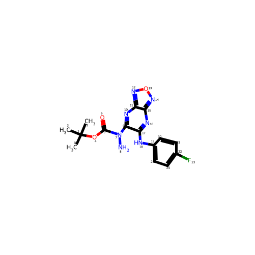 CC(C)(C)OC(=O)N(N)c1nc2nonc2nc1Nc1ccc(F)cc1